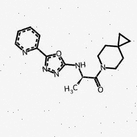 C[C@@H](Nc1nnc(-c2ccccn2)o1)C(=O)N1CCC2(CC1)CC2